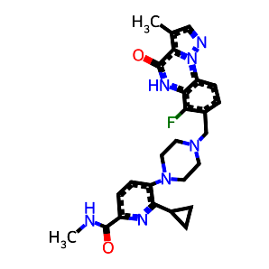 CNC(=O)c1ccc(N2CCN(Cc3ccc4c([nH]c(=O)c5c(C)cnn54)c3F)CC2)c(C2CC2)n1